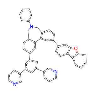 c1ccc(N2Cc3ccc(-c4cc(-c5cccnc5)cc(-c5cccnc5)c4)cc3-c3cc(-c4ccc5c(c4)oc4ccccc45)ccc3C2)cc1